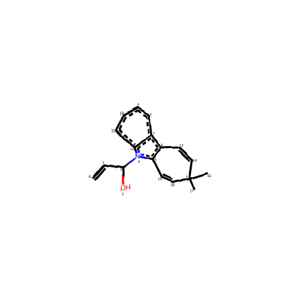 C=CC(O)n1c2c(c3ccccc31)C=CC(C)(C)C=C2